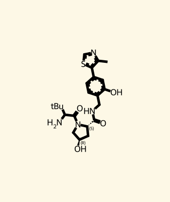 Cc1ncsc1-c1ccc(CNC(=O)[C@@H]2C[C@@H](O)CN2C(=O)C(N)C(C)(C)C)c(O)c1